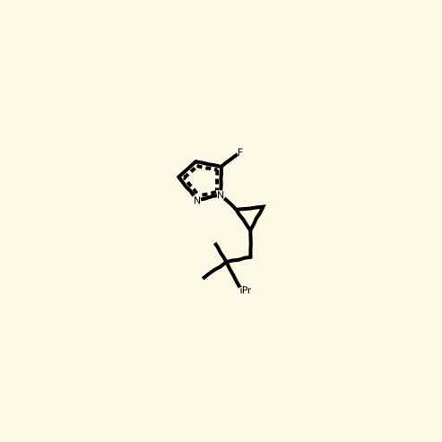 CC(C)C(C)(C)CC1CC1n1nccc1F